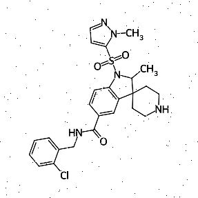 CC1N(S(=O)(=O)c2ccnn2C)c2ccc(C(=O)NCc3ccccc3Cl)cc2C12CCNCC2